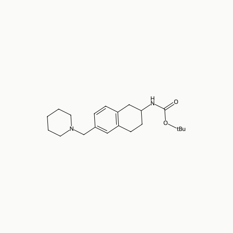 CC(C)(C)OC(=O)NC1CCc2cc(CN3CCCCC3)ccc2C1